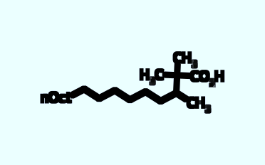 CCCCCCCCCCCCCCC(C)C(C)(C)C(=O)O